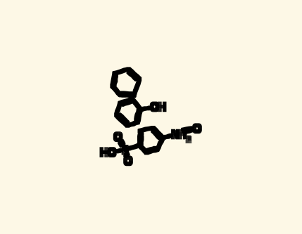 C=O.Nc1ccc(S(=O)(=O)O)cc1.Oc1ccccc1.c1ccccc1